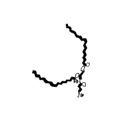 CCCCCCCC/C=C\CCCCCCCC(=O)OCC(CNC(=O)CCCN(C)C)OC(=O)CCCCCCC/C=C\CCCCCCCC